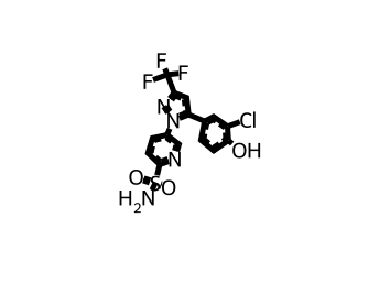 NS(=O)(=O)c1ccc(-n2nc(C(F)(F)F)cc2-c2ccc(O)c(Cl)c2)cn1